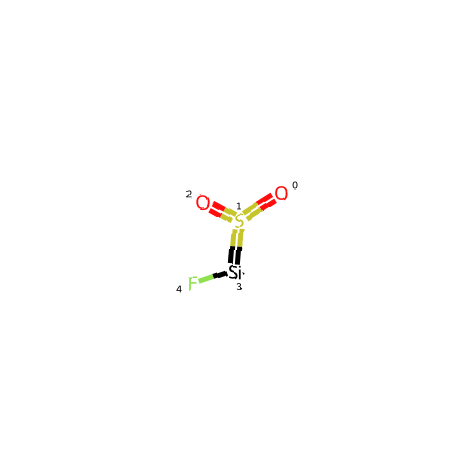 O=S(=O)=[Si]F